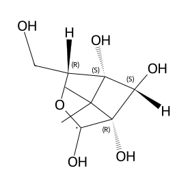 CC1(C)[C@@]2(O)[C@@H](CO)O[C](O)[C@]1(O)[C@H]2O